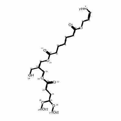 CCCCCC/C=C\COC(=O)CCCCCC(=O)OCC(CO)COC(=O)CCC(OCCCCCCCC)OCCCCCCCC